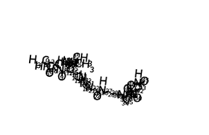 Cc1cc(C)c(CNC(=O)c2cc(-c3ccc(N4CCN(CCC(=O)NCCCCCNc5cccc6c5C(=O)N(C5CCC(=O)NC5=O)C6=O)CC4)nc3)cc(NC(C)C)c2C=N)c(=O)[nH]1